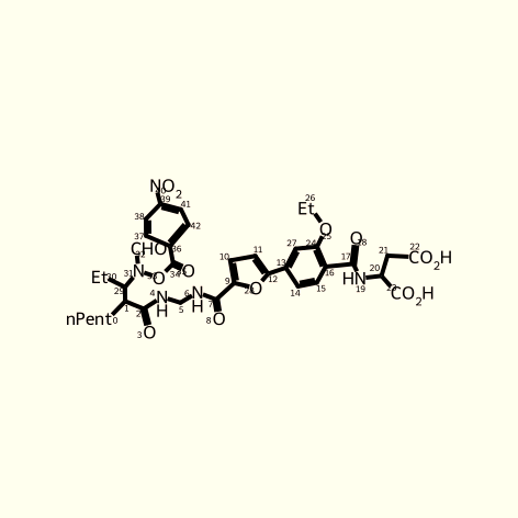 CCCCCC(C(=O)NCNC(=O)c1ccc(-c2ccc(C(=O)NC(CC(=O)O)C(=O)O)c(OCC)c2)o1)C(CC)N(C=O)OC(=O)c1ccc([N+](=O)[O-])cc1